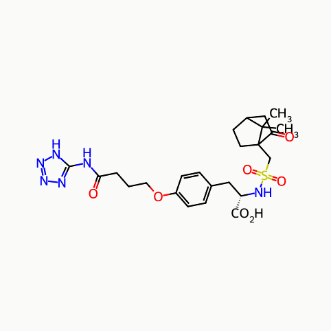 CC1(C)C2CCC1(CS(=O)(=O)N[C@@H](Cc1ccc(OCCCC(=O)Nc3nnn[nH]3)cc1)C(=O)O)C(=O)C2